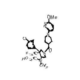 COc1ccc(N2CCC(C(=O)N3C[C@@H](N(C)C(=O)O)[C@](C)(c4ccc(Cl)cc4)C3)CC2)nn1